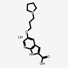 O=C(O)c1cc2cc(OCCCN3CCCC3)cnc2[nH]1.[LiH]